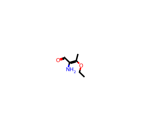 CCOC(C)=C(N)[C]=O